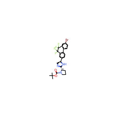 CC(C)(C)OC(=O)N1CCC[C@H]1c1ncc(-c2ccc3c(c2)C(F)(F)C(F)(F)c2cc(Br)ccc2-3)[nH]1